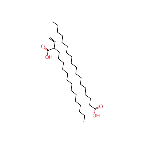 C=CC(CCCCCCCCCCCCCC)C(=O)O.CCCCCCCCCCCCCCCCCC(=O)O